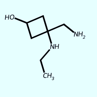 CCNC1(CN)CC(O)C1